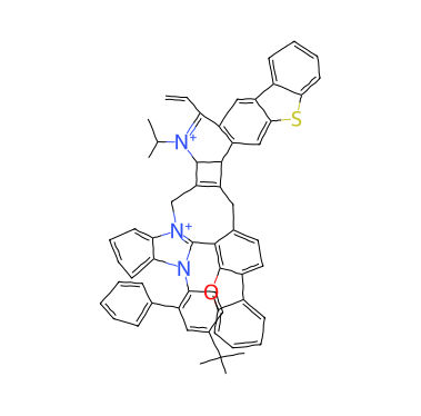 C=CC1=[N+](C(C)C)C2C3=C(Cc4ccc5c(oc6ccccc65)c4-c4n(-c5ccc(C(C)(C)C)cc5-c5ccccc5)c5ccccc5[n+]4C3)C2c2cc3sc4ccccc4c3cc21